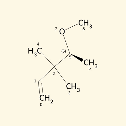 C=CC(C)(C)[C@H](C)OC